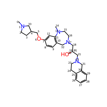 CN1CCC(COc2ccc3c(c2)N(C)CCN(C[C@H](O)CN2CCc4ccccc4C2)C3)C1